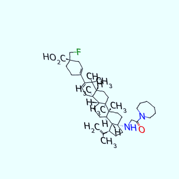 C=C(C)[C@@H]1CC[C@]2(NCC(=O)N3CCCCCC3)CC[C@]3(C)[C@H](CC[C@@H]4[C@@]5(C)CC=C(C6=CC[C@](CF)(C(=O)O)CC6)C(C)(C)[C@@H]5CC[C@]43C)[C@@H]12